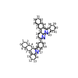 c1ccc2cc3c(cc2c1)c1ccccc1n1cc2ccc(-c4ccc5c6cc7ccccc7cc6c6c7ccccc7cn6c5n4)cc2c31